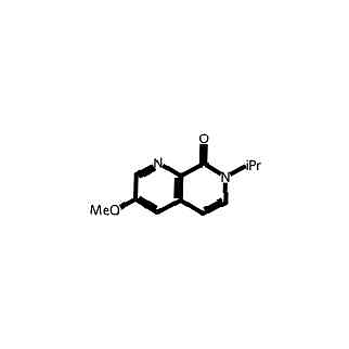 COc1cnc2c(=O)n(C(C)C)ccc2c1